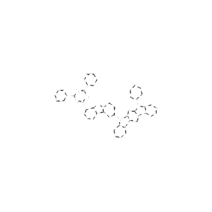 c1ccc(-c2nc(-c3ccccc3)nc(-c3cccc4c3oc3ccc(-n5c6ccccc6c6cc7c8ccccc8n(-c8ccccc8)c7cc65)cc34)n2)cc1